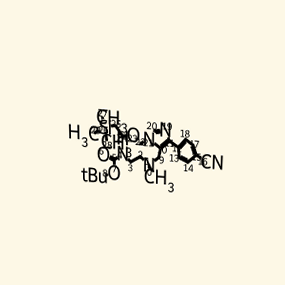 CN(CCNC(=O)OC(C)(C)C)Cc1c(-c2ccc(C#N)cc2)ncn1COCC[Si](C)(C)C